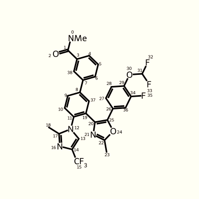 CNC(=O)c1cccc(-c2ccc(-n3cc(C(F)(F)F)nc3C)c(-c3nc(C)oc3-c3ccc(OC(F)F)c(F)c3)c2)c1